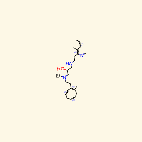 C=N/C(CCNCC(O)CN(CC)CCC1=C(\C)C/C=C\C/C=C\1)=C(C)\C=C/C